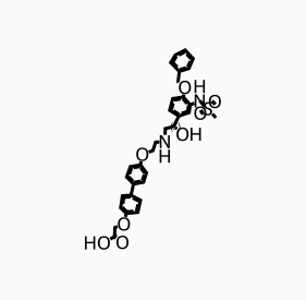 CS(=O)(=O)Nc1cc([C@H](O)CNCCOc2ccc(-c3ccc(OCC(=O)O)cc3)cc2)ccc1OCc1ccccc1